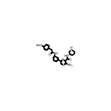 CSc1ccc(CC(=O)Nc2cccc(-c3cnc(N)c(C(=O)N[C@H]4CCCNC4)n3)c2)cc1